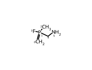 C=P(C)(F)CN